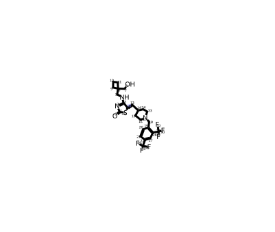 O=C1N=C(NCC2(CO)CCC2)/C(=C/C2CCN(Cc3ccc(C(F)(F)F)cc3C(F)(F)F)CC2)S1